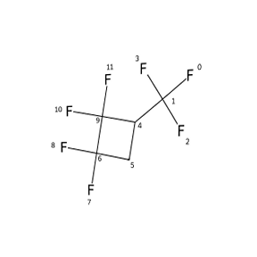 FC(F)(F)C1CC(F)(F)C1(F)F